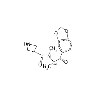 C[C@@H](C(=O)c1ccc2c(c1)OCO2)N(C)C(=O)C1CNC1